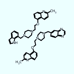 Cc1ccc2c(OCCN3CCN(Cc4ccc5nccnc5c4)CC3)cccc2n1.Cc1ccc2c(OCCN3CCN(Cc4cccc5cc[nH]c45)CC3)cccc2n1